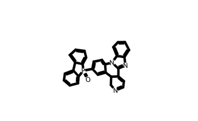 O=P1(c2ccc3c(c2)C2CN=CC=C2c2nc4ccccc4n2-3)c2ccccc2-c2ccccc21